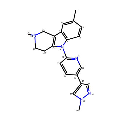 Cc1ccc2c(c1)c1c(n2-c2ccc(-c3cnn(C)c3)cn2)CCN(C)C1